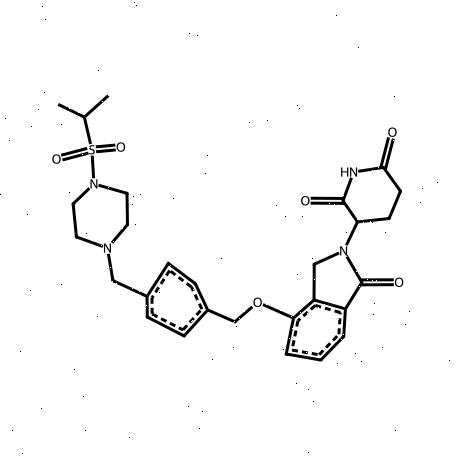 CC(C)S(=O)(=O)N1CCN(Cc2ccc(COc3cccc4c3CN(C3CCC(=O)NC3=O)C4=O)cc2)CC1